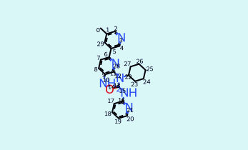 Cc1cncc(-c2ccc(N)c(N(C(=O)Nc3ccccn3)C3CCCCC3)n2)c1